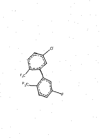 Fc1ccc(C(F)(F)F)c(-c2cc(Cl)c[c]c2C(F)(F)F)c1